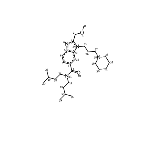 COCc1nc2ccc(C(=O)N(CCC(C)C)CCC(C)C)cc2n1CCCN1CCCCC1